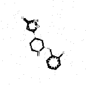 O=c1cc([C@H]2CCN[C@@H](Cc3ccccc3F)C2)o[nH]1